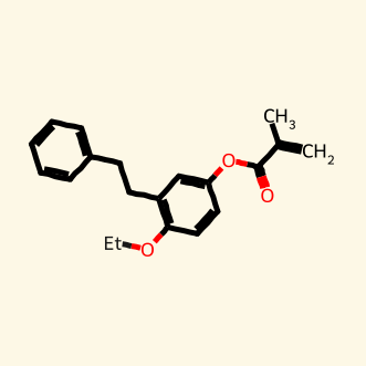 C=C(C)C(=O)Oc1ccc(OCC)c(CCc2ccccc2)c1